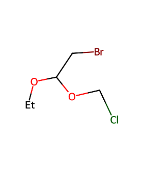 CCOC(CBr)OCCl